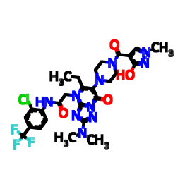 CCc1c(N2CCN(C(=O)c3cn(C)nc3O)CC2)c(=O)n2nc(N(C)C)nc2n1CC(=O)Nc1ccc(C(F)(F)F)cc1Cl